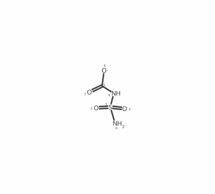 NS(=O)(=O)NC([O])=O